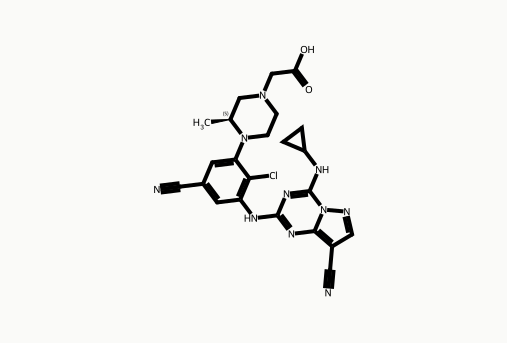 C[C@H]1CN(CC(=O)O)CCN1c1cc(C#N)cc(Nc2nc(NC3CC3)n3ncc(C#N)c3n2)c1Cl